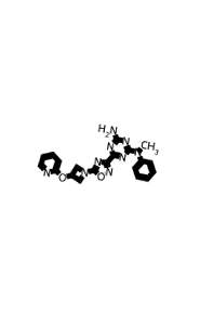 CN(c1ccccc1)c1nc(N)nc(-c2noc(N3CC(Oc4ccccn4)C3)n2)n1